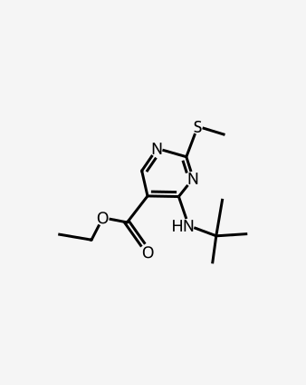 CCOC(=O)c1cnc(SC)nc1NC(C)(C)C